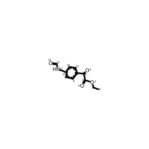 CCOC(=O)C(=O)c1ccc(N[C]=O)cc1